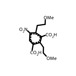 COCCc1c(C(=O)O)cc([N+](=O)[O-])c(CCOC)c1C(=O)O